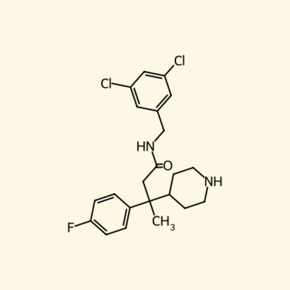 CC(CC(=O)NCc1cc(Cl)cc(Cl)c1)(c1ccc(F)cc1)C1CCNCC1